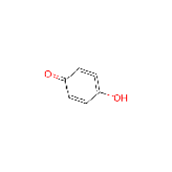 O=C1C=C=C(O)C=C1